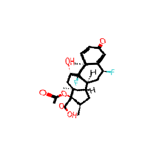 CC(=O)O[C@]1(C(=O)O)[C@H](C)C[C@H]2[C@@H]3C[C@H](F)C4=CC(=O)C=C[C@]4(C)[C@@]3(F)[C@@H](O)C[C@@]21C